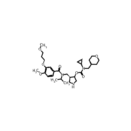 COCCCOc1cc(C(=O)N(C[C@@H]2CNCC2OC(=O)N(CC2CCOCC2)C2CC2)C(C)C)ccc1OC